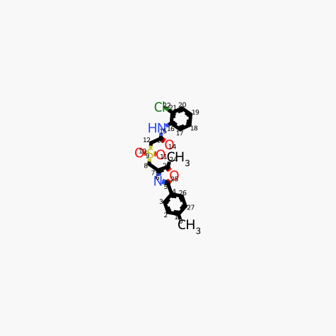 Cc1ccc(-c2nc(CS(=O)(=O)CC(=O)Nc3ccccc3Cl)c(C)o2)cc1